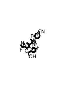 Cc1c(-c2cc(O[C@H](CO)c3ccc(F)cn3)c3c(F)cnn3c2)nnn1[C@H]1CCN(C#N)C[C@@H]1F